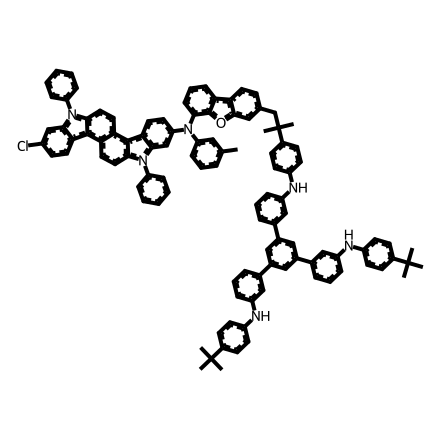 Cc1cccc(N(c2ccc3c4c5ccc6c(c5ccc4n(-c4ccccc4)c3c2)c2ccc(Cl)cc2n6-c2ccccc2)c2cccc3c2oc2cc(CC(C)(C)c4ccc(Nc5cccc(-c6cc(-c7cccc(Nc8ccc(C(C)(C)C)cc8)c7)cc(-c7cccc(Nc8ccc(C(C)(C)C)cc8)c7)c6)c5)cc4)ccc23)c1